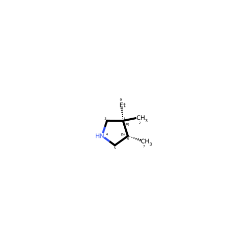 CC[C@@]1(C)CNC[C@H]1C